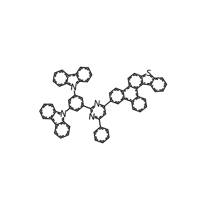 c1ccc(-c2cc(-c3ccc4c(c3)c3ccccc3c3c4ccc4sc5ccccc5c43)nc(-c3cc(-n4c5ccccc5c5ccccc54)cc(-n4c5ccccc5c5ccccc54)c3)n2)cc1